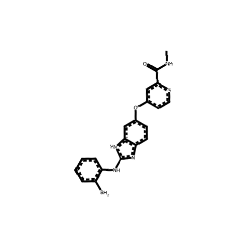 Bc1ccccc1Nc1nc2ccc(Oc3ccnc(C(=O)NC)c3)cc2[nH]1